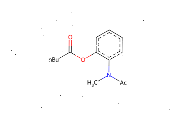 CCCCC(=O)Oc1ccccc1N(C)C(C)=O